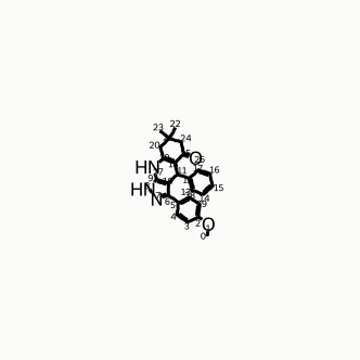 COc1ccc(-c2n[nH]c3c2C(c2ccccc2)C2=C(CC(C)(C)CC2=O)N3)cc1